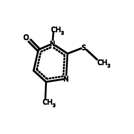 CSc1nc(C)cc(=O)n1C